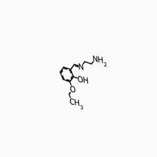 CCOc1cccc(C=NCCN)c1O